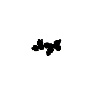 Cc1ccc(-c2ccc(-c3ccc4c(c3)-c3cc(C(C)(C)C)cc[n+]3C35C=C4C3C3C5c4ccccc4-c4cc(C)cc[n+]43)c3cnccc23)cc1